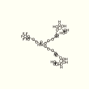 O=C(CCOCCOCCC(=O)Oc1c(F)c(F)c(F)c(F)c1F)NC(COCCOCCOCCn1cc(CCO[C@H]2C[C@H](CCP(=O)(O)O)[C@@H](O)[C@H](O)[C@@H]2O)nn1)COCCOCCOCCn1cc(CCO[C@H]2C[C@H](CCP(=O)(O)O)[C@@H](O)[C@H](O)[C@@H]2O)nn1